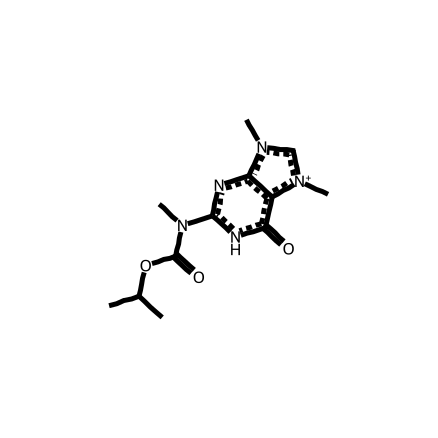 CC(C)OC(=O)N(C)c1nc2c(c(=O)[nH]1)[n+](C)cn2C